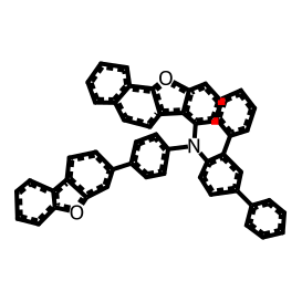 c1ccc(-c2ccc(N(c3ccc(-c4ccc5c(c4)oc4ccccc45)cc3)c3cccc4oc5c6ccccc6ccc5c34)c(-c3ccccc3)c2)cc1